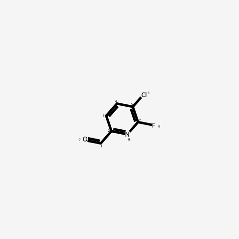 O=Cc1ccc(Cl)c(F)n1